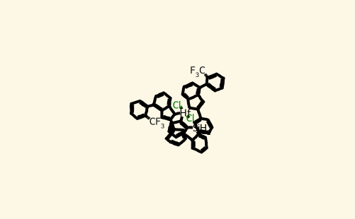 FC(F)(F)c1ccccc1-c1cccc2c1C=C(c1ccccc1)[CH]2[Hf]([Cl])([Cl])([c]1cccc2c1[SiH2]c1ccccc1-2)[CH]1C(c2ccccc2)=Cc2c(-c3ccccc3C(F)(F)F)cccc21